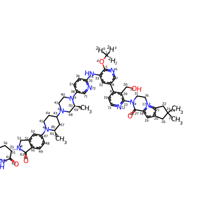 [2H]C([2H])([2H])Oc1ncc(-c2ccnc(N3CCn4c(cc5c4CC(C)(C)C5)C3=O)c2CO)cc1Nc1ccc(N2CCN(C3CCN(c4ccc5c(c4)CN([C@H]4CCC(=O)NC4=O)C5=O)[C@H](C)C3)C[C@@H]2C)cn1